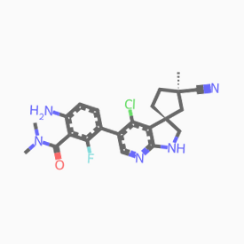 CN(C)C(=O)c1c(N)ccc(-c2cnc3c(c2Cl)[C@@]2(CC[C@@](C)(C#N)C2)CN3)c1F